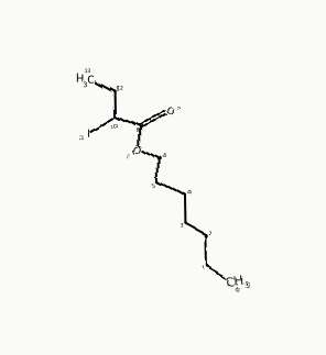 CCCCCCCOC(=O)C(I)CC